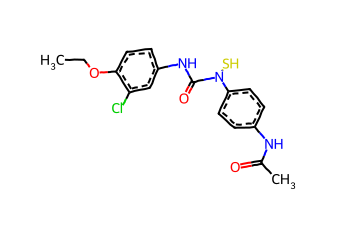 CCOc1ccc(NC(=O)N(S)c2ccc(NC(C)=O)cc2)cc1Cl